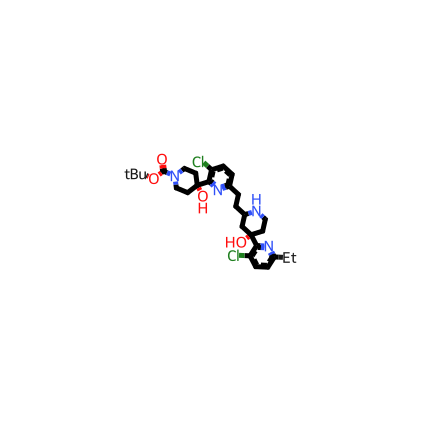 CCc1ccc(Cl)c(C2(O)CCNC(CCc3ccc(Cl)c(C4(O)CCN(C(=O)OC(C)(C)C)CC4)n3)C2)n1